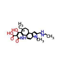 CCNCc1cc2c3c(ccc2n1C)-c1[nH]c(=O)c(C(=O)O)c(O)c1[C@@H](C)CC3